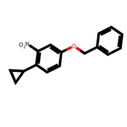 O=[N+]([O-])c1cc(OCc2ccccc2)ccc1C1CC1